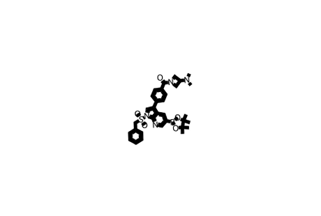 CN(C)C1CN(C(=O)c2ccc(-c3cn(S(=O)(=O)Cc4ccccc4)c4ncc(B5OC(C)(C)C(C)(C)O5)cc34)cc2)C1